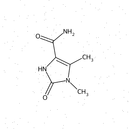 Cc1c(C(N)=O)[nH]c(=O)n1C